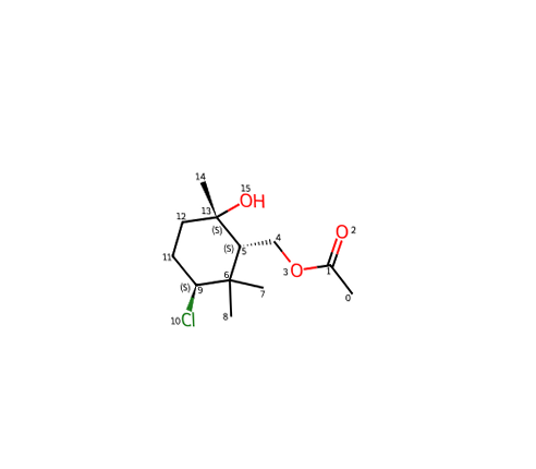 CC(=O)OC[C@@H]1C(C)(C)[C@@H](Cl)CC[C@]1(C)O